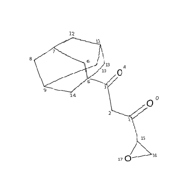 O=C(CC(=O)C12CC3CC(CC(C3)C1)C2)C1CO1